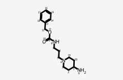 NC1CCN(CCCNC(=O)OCc2ccccc2)CC1